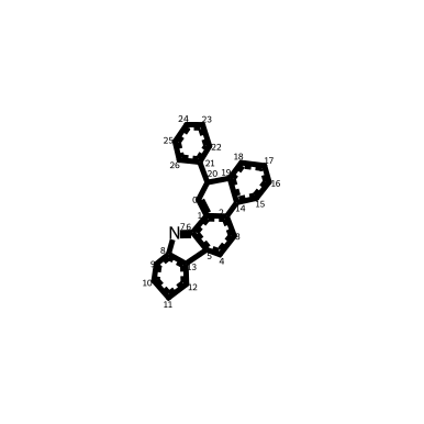 C1=c2c(ccc3c2=Nc2ccccc2-3)-c2ccccc2C1c1ccccc1